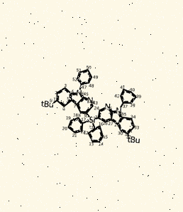 CC(C)(C)c1ccc2c(c1)c1cc([Si](c3ccccc3)(c3ccccc3)c3cnc4c(c3)c3cc(C(C)(C)C)ccc3n4-c3ccccc3)cnc1n2-c1ccccc1